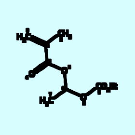 C=C(C)C(=O)OC(C)OC(=O)OCC